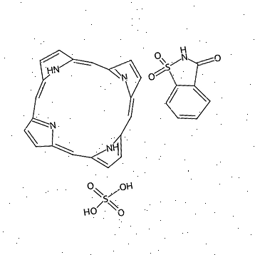 C1=Cc2cc3ccc(cc4nc(cc5ccc(cc1n2)[nH]5)C=C4)[nH]3.O=C1NS(=O)(=O)c2ccccc21.O=S(=O)(O)O